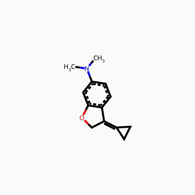 CN(C)c1ccc2c(c1)OCC2=C1CC1